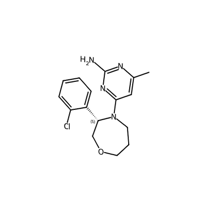 Cc1cc(N2CCCOC[C@@H]2c2ccccc2Cl)nc(N)n1